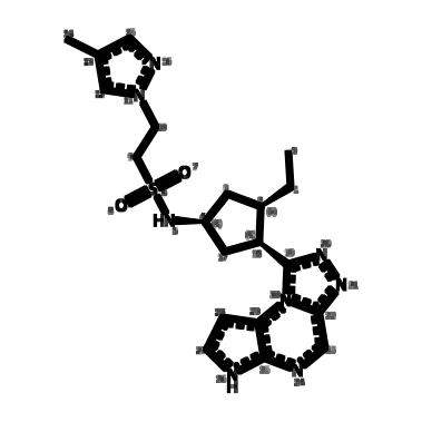 CC[C@@H]1C[C@H](NS(=O)(=O)CCn2cc(C)cn2)C[C@@H]1c1nnc2cnc3[nH]ccc3n12